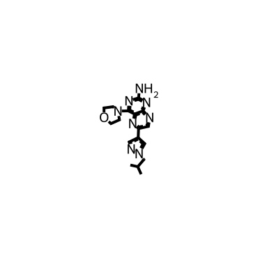 CC(C)Cn1cc(-c2cnc3nc(N)nc(N4CCOCC4)c3n2)cn1